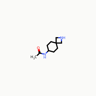 CC(=O)NC1CCC2(CC1)CNC2